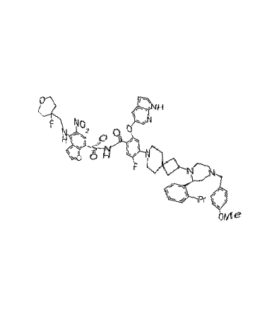 COc1ccc(CN2CCN(C3CC4(CCN(c5cc(Oc6cnc7[nH]ccc7c6)c(C(=O)NS(=O)(=O)c6cc([N+](=O)[O-])c(NCC7(F)CCOCC7)c7ccoc67)cc5F)CC4)C3)[C@H](c3ccccc3C(C)C)C2)cc1